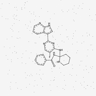 O=C(NC1(Nc2nc(-c3c[nH]c4ncccc34)ncc2F)CCCCP1)c1ccccc1